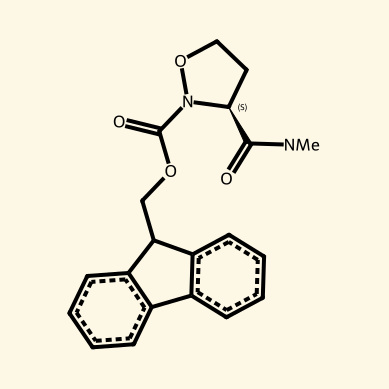 CNC(=O)[C@@H]1CCON1C(=O)OCC1c2ccccc2-c2ccccc21